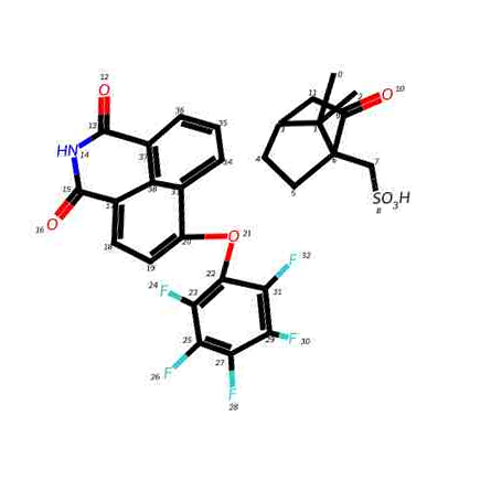 CC1(C)C2CCC1(CS(=O)(=O)O)C(=O)C2.O=C1NC(=O)c2ccc(Oc3c(F)c(F)c(F)c(F)c3F)c3cccc1c23